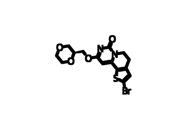 O=c1nc(OC[C@@H]2COCCO2)cc2n1CCc1cc(Br)sc1-2